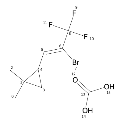 CC1(C)CC1C=C(Br)C(F)(F)F.O=C(O)O